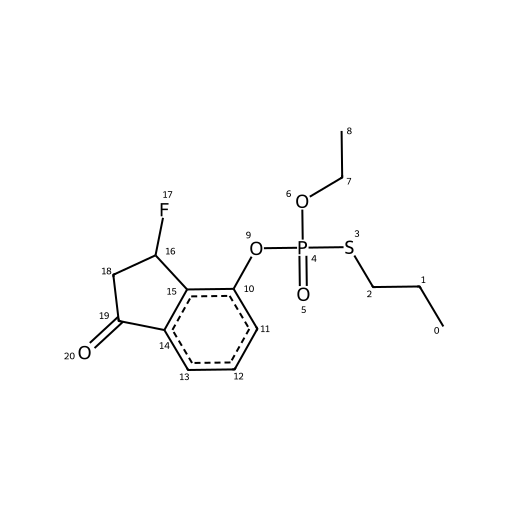 CCCSP(=O)(OCC)Oc1cccc2c1C(F)CC2=O